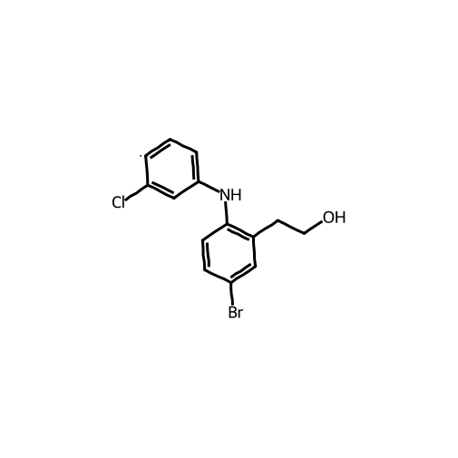 OCCc1cc(Br)ccc1Nc1cc[c]c(Cl)c1